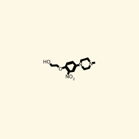 CN1CCN(c2ccc(OCCO)c([N+](=O)[O-])c2)CC1